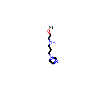 CCOCCNCCCn1ccnc1